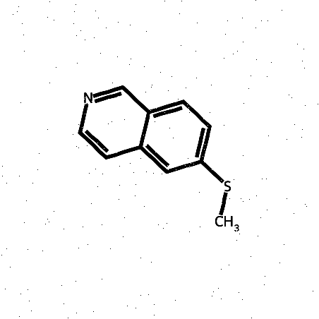 CSc1ccc2cnccc2c1